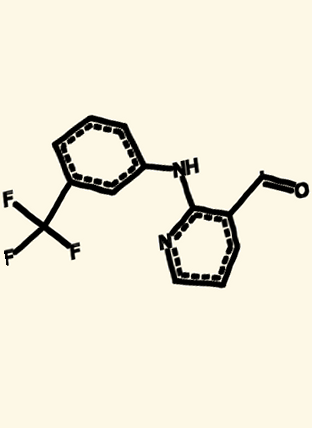 O=[C]c1cccnc1Nc1cccc(C(F)(F)F)c1